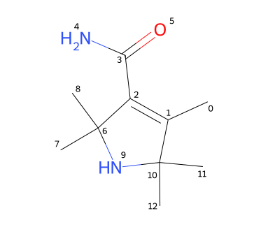 CC1=C(C(N)=O)C(C)(C)NC1(C)C